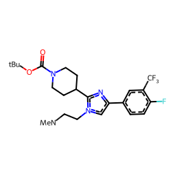 CNCCn1cc(-c2ccc(F)c(C(F)(F)F)c2)nc1C1CCN(C(=O)OC(C)(C)C)CC1